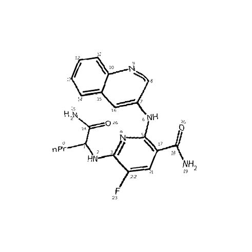 CCCC(Nc1nc(Nc2cnc3ccccc3c2)c(C(N)=O)cc1F)C(N)=O